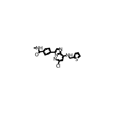 CNC(=O)c1ccc(-c2cnc3c(NCc4cccs4)cc(Cl)nn23)cc1